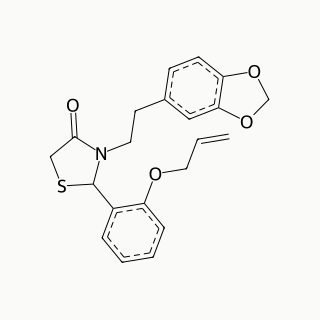 C=CCOc1ccccc1C1SCC(=O)N1CCc1ccc2c(c1)OCO2